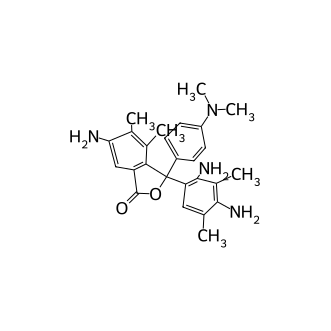 Cc1cc(C2(c3ccc(N(C)C)cc3)OC(=O)c3cc(N)c(C)c(C)c32)c(N)c(C)c1N